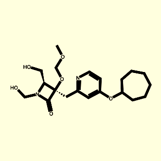 COCO[C@@]1(Cc2cc(OC3CCCCCC3)ccn2)C(=O)N(CO)[C@H]1CO